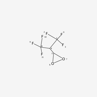 FC(F)(F)C(C1OO1)C(F)(F)F